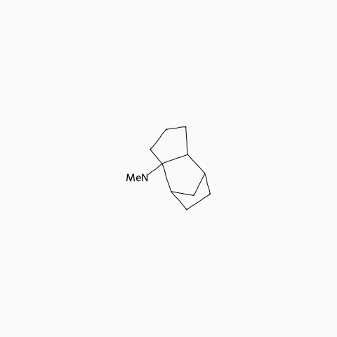 CNC12CCCC1C1CCC2C1